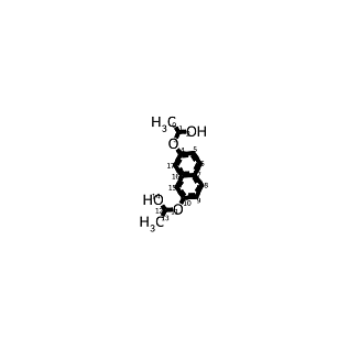 CC(O)Oc1ccc2ccc(OC(C)O)cc2c1